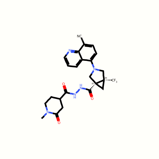 CN1CCC(C(=O)NNC(=O)[C@]23CN(c4ccc(C#N)c5ncccc45)C[C@@]2(C(F)(F)F)C3)CC1=O